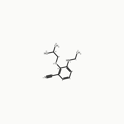 CCNc1cccc(C#N)c1OCC(C)O